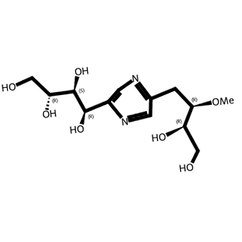 CO[C@H](Cc1cnc([C@@H](O)[C@H](O)[C@H](O)CO)cn1)[C@H](O)CO